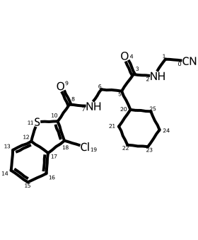 N#CCNC(=O)C(CNC(=O)c1sc2ccccc2c1Cl)C1CCCCC1